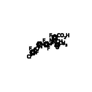 CC1(C)COCC1n1c(Cc2cc(F)c(-c3cccc(OCc4c(F)cc(Cl)cc4F)n3)cc2F)nc2c(F)cc(C(=O)O)cc21